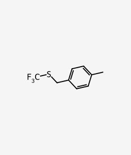 Cc1ccc(CSC(F)(F)F)cc1